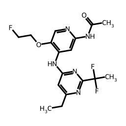 CCc1cc(Nc2cc(NC(C)=O)ncc2OCCF)nc(C(C)(F)F)n1